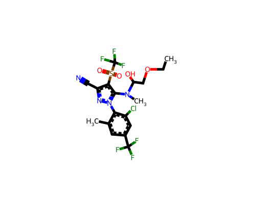 CCOCC(O)N(C)c1c(S(=O)(=O)C(F)(F)F)c(C#N)nn1-c1c(C)cc(C(F)(F)F)cc1Cl